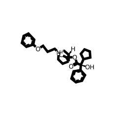 O=C(O[C@H]1C[N+]2(CCCOc3ccccc3)CCC1CC2)[C@@](O)(c1ccccc1)C1CCCC1